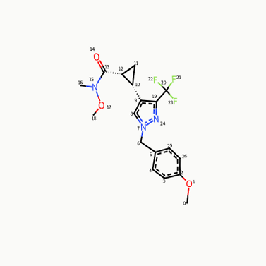 COc1ccc(Cn2cc([C@H]3C[C@H]3C(=O)N(C)OC)c(C(F)(F)F)n2)cc1